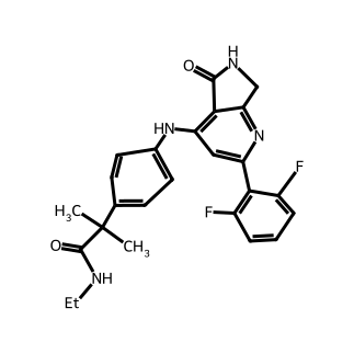 CCNC(=O)C(C)(C)c1ccc(Nc2cc(-c3c(F)cccc3F)nc3c2C(=O)NC3)cc1